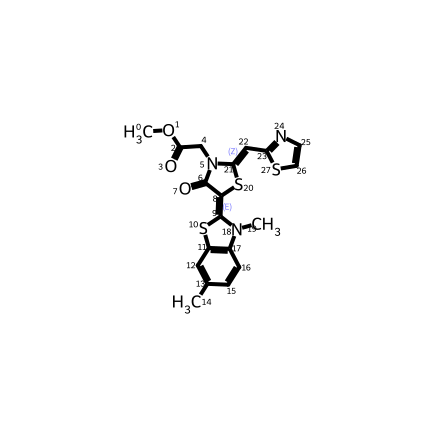 COC(=O)Cn1c(=O)/c(=C2\Sc3cc(C)ccc3N2C)s/c1=C\c1nccs1